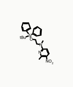 Cc1nc(N(C)CCO[Si](c2ccccc2)(c2ccccc2)C(C)(C)C)ccc1[N+](=O)[O-]